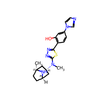 CN(c1nnc(-c2ccc(-n3ccnc3)cc2O)s1)[C@@H]1C[C@H]2CC[C@@](C)(C1)N2